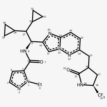 CCn1nccc1C(=O)N[C@H](c1cn2nc(CC3C[C@@H](C(F)(F)F)NC3=O)ccc2n1)C(C1CC1)C1CC1